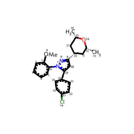 COc1ccccc1-n1nc([C@H]2C[C@@H](C)O[C@@H](C)C2)cc1-c1ccc(Cl)cc1